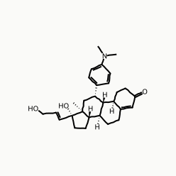 CN(C)c1ccc([C@H]2C[C@@]3(C)[C@@H](CC[C@@]3(O)/C=C/CO)[C@@H]3CCC4=CC(=O)CC[C@@H]4[C@H]32)cc1